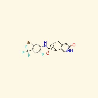 O=C(Nc1cc(Br)c(C(F)(F)F)cc1F)C1C2CCC1c1c[nH]c(=O)cc1C2